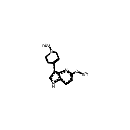 CCCCN1CC=C(c2c[nH]c3ccc(OCCC)nc23)CC1